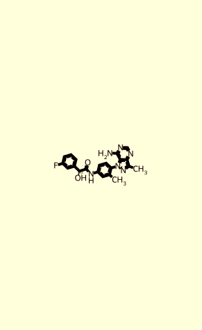 Cc1cc(NC(=O)[C@H](O)c2cccc(F)c2)ccc1-n1nc(C)c2ncnc(N)c21